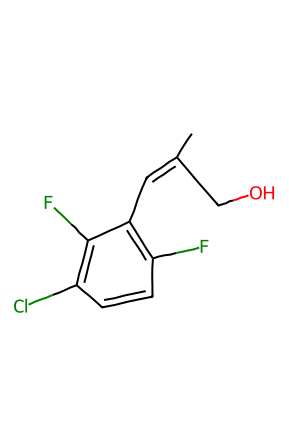 CC(=Cc1c(F)ccc(Cl)c1F)CO